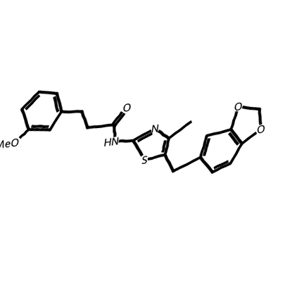 COc1cccc(CCC(=O)Nc2nc(C)c(Cc3ccc4c(c3)OCO4)s2)c1